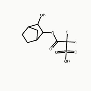 O=C(OC1C2CCC(C2)C1O)C(F)(F)S(=O)(=O)O